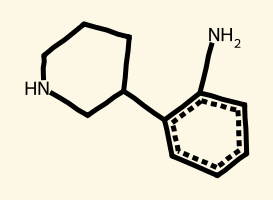 Nc1ccccc1C1CCCNC1